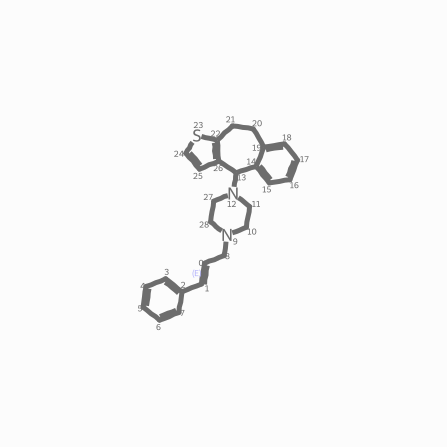 C(=C\c1ccccc1)/CN1CCN(C2c3ccccc3CCc3sccc32)CC1